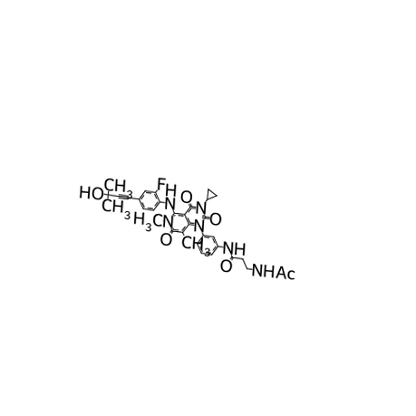 CC(=O)NCCC(=O)Nc1cccc(-n2c(=O)n(C3CC3)c(=O)c3c(Nc4ccc(C#CC(C)(C)O)cc4F)n(C)c(=O)c(C)c32)c1